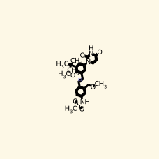 COCc1cc(NS(C)(=O)=O)ccc1/C=C/c1cc(-n2ccc(=O)[nH]c2=O)cc(C(C)(C)C)c1OC